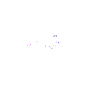 O=C1CCN(c2cc(N3CCN(CCCCN4CCC(n5cc(NC(=O)c6cnn7ccc(N8C[C@H]9C[C@@H]8CC9=O)nc67)c(C(F)F)n5)CC4)CC3)ccc2Cl)C(=O)N1